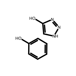 Oc1c[nH]nn1.Oc1ccccc1